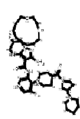 Nc1nn2c(c1C(=O)Nc1cncc(F)c1N1CCC(C(=O)N3CCC(N4CCCCC4)C3)CC1)NCC(F)C21CCCCCCCCCCC1